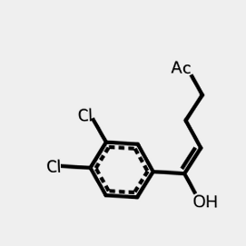 CC(=O)CC/C=C(/O)c1ccc(Cl)c(Cl)c1